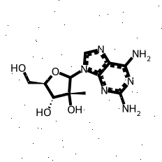 C[C@]1(O)C(n2cnc3c(N)nc(N)nc32)O[C@H](CO)[C@H]1O